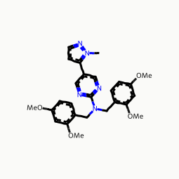 COc1ccc(CN(Cc2ccc(OC)cc2OC)c2ncc(-c3ccnn3C)cn2)c(OC)c1